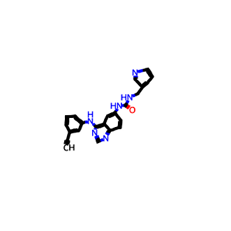 C#Cc1cccc(Nc2ncnc3ccc(NC(=O)NCc4cccnc4)cc23)c1